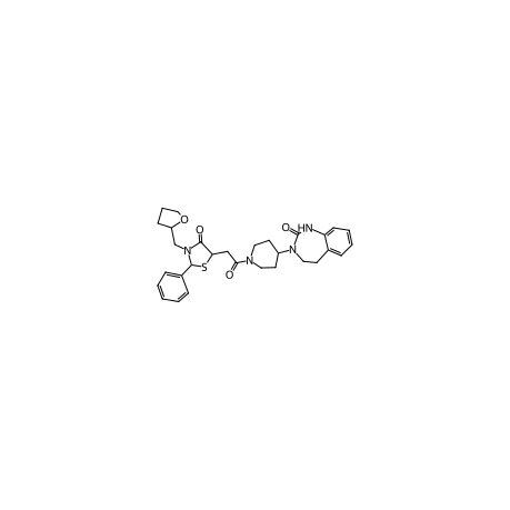 O=C(CC1SC(c2ccccc2)N(CC2CCCO2)C1=O)N1CCC(N2CCc3ccccc3NC2=O)CC1